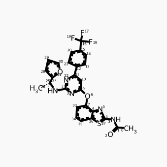 CC(=O)Nc1nc2c(Oc3cc(-c4ccc(C(F)(F)F)cc4)nc(N[C@H](C)c4ccco4)n3)cccc2s1